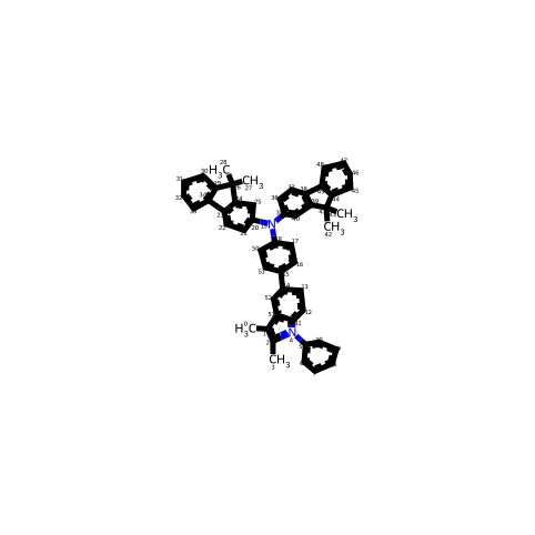 Cc1c(C)n(-c2ccccc2)c2ccc(-c3ccc(N(c4ccc5c(c4)C(C)(C)c4ccccc4-5)c4ccc5c(c4)C(C)(C)c4ccccc4-5)cc3)cc12